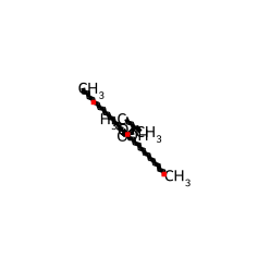 CCCCC(CC)CO.CCCCCCCCCCCCCCCCCC(=O)OCCCCCCCCCCCCCCCC